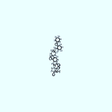 O=C1CCC(N2Cc3c(ccc4c3OCC43CCN(Cc4ccccc4Oc4ccccc4)CC3)C2=O)C(=O)N1